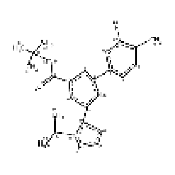 Cc1ccc(-c2cc(C(=O)NC(C)(C)C)cc(-c3ccnn3C(C)C)n2)cc1F